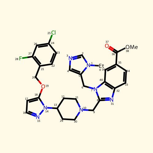 CCn1cncc1Cn1c(CN2CCC(n3nccc3OCc3ccc(Cl)cc3F)CC2)nc2ccc(C(=O)OC)cc21